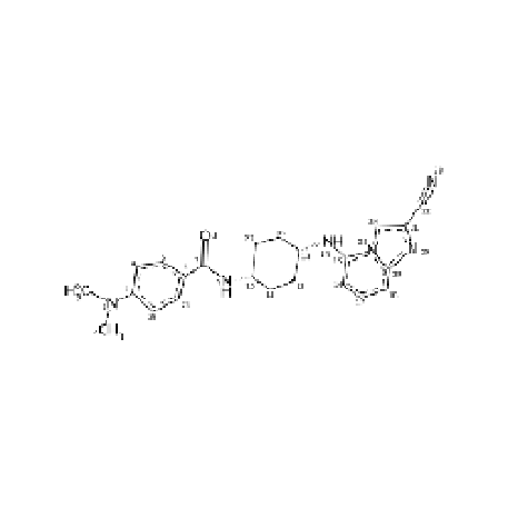 CN(C)c1ccc(C(=O)N[C@H]2CC[C@@H](Nc3cccc4nc(C#N)cn34)CC2)cc1